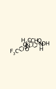 CC1(C)CN(S(=O)(=O)c2ccc(C(F)(F)F)cc2)Cc2ccc(C(=O)NO)cc21